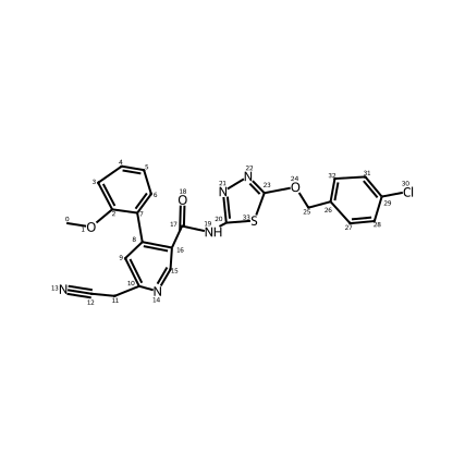 COc1ccccc1-c1cc(CC#N)ncc1C(=O)Nc1nnc(OCc2ccc(Cl)cc2)s1